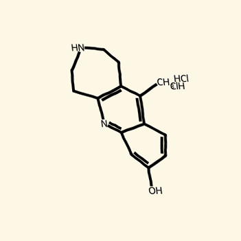 Cc1c2c(nc3cc(O)ccc13)CCNCC2.Cl.Cl